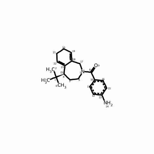 CC(C)(C)[C@@H]1CCN(C(=O)c2ccc(N)cc2)CC2=CCCC=C21